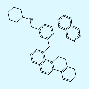 C1=CC2=C(CC1)CCc1c2ccc2cccc(Cc3cccc(CNC4CCCCC4)c3)c12.c1ccc2cnncc2c1